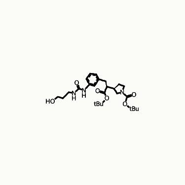 CC(C)(C)OC(=O)[C@@H](Cc1cccc(NC(=O)NCCCO)c1)[C@H]1CCN(C(=O)OC(C)(C)C)C1